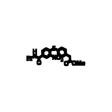 CCNC(=O)c1ccc(Sc2ccc(CC(=O)OC)cc2)c([N+](=O)[O-])c1